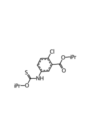 CC(C)OC(=O)c1cc(NC(=S)OC(C)C)ccc1Cl